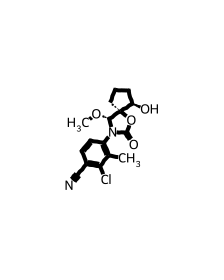 CO[C@H]1N(c2ccc(C#N)c(Cl)c2C)C(=O)O[C@@]12CCC[C@H]2O